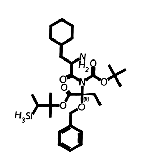 CC[C@@](OCc1ccccc1)(C(=O)OC(C)(C)C(C)[SiH3])N(C(=O)OC(C)(C)C)C(=O)C(N)CC1CCCCC1